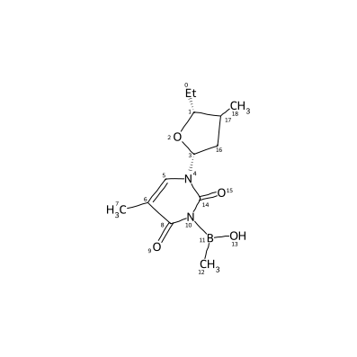 CC[C@H]1O[C@@H](n2cc(C)c(=O)n(B(C)O)c2=O)CC1C